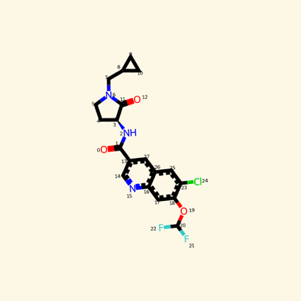 O=C(N[C@H]1CCN(CC2CC2)C1=O)c1cnc2cc(OC(F)F)c(Cl)cc2c1